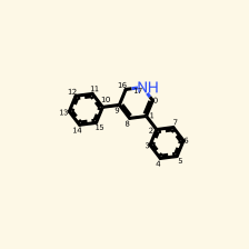 C1=C(c2ccccc2)C=C(c2ccccc2)CN1